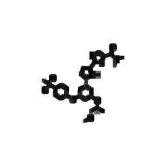 COC[C@H](C)Oc1cc(Oc2ccc(S(C)(=O)=O)cc2)cc(-c2ccc(-c3ncc(C(=O)N(C)C)s3)[nH]2)c1